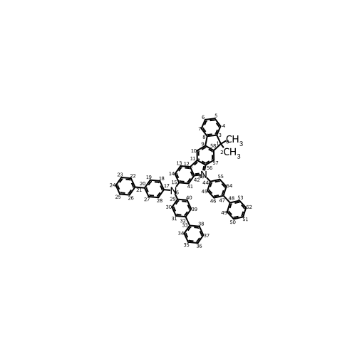 CC1(C)c2ccccc2-c2cc3c4ccc(N(c5ccc(-c6ccccc6)cc5)c5ccc(-c6ccccc6)cc5)cc4n(-c4ccc(-c5ccccc5)cc4)c3cc21